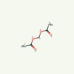 CCCCC(=O)OCOC(=O)CCCC